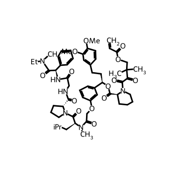 C=CC(=O)OCC(C)(C)C(=O)C(=O)N1CCCC[C@H]1C(=O)O[C@H](CCc1ccc(OC)c(OC)c1)c1cccc(OCC(=O)N(C)[C@@H](CC(C)C)C(=O)N2CCC[C@@H]2C(=O)NCC(=O)N[C@@H](C(=O)N(C)CC)c2ccccc2)c1